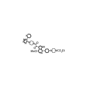 CCOC(=O)N1CCN(c2ccc(-c3ncc(OC)c4c(C(=O)C(=O)N5CCN(c6nnnn6-c6ccccn6)CC5)c[nH]c34)cc2)CC1